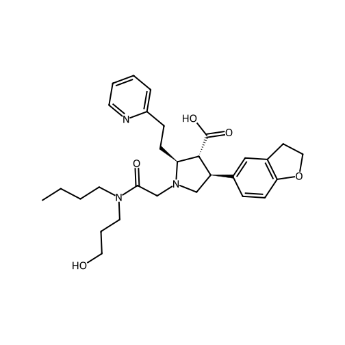 CCCCN(CCCO)C(=O)CN1C[C@H](c2ccc3c(c2)CCO3)[C@@H](C(=O)O)[C@@H]1CCc1ccccn1